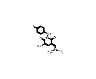 C/C(C=O)=C/C(=C\N(C)C)C(=O)NNc1ccc(F)cc1